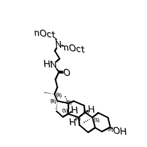 CCCCCCCCN(CCCCCCCC)CCNC(=O)CC[C@@H](C)[C@H]1CC[C@H]2[C@@H]3CCC4C[C@H](O)CC[C@]4(C)[C@H]3CC[C@]12C